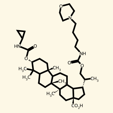 CC(COC(=O)NCCCCN1CCOCC1)[C@@H]1CC[C@]2(C(=O)O)CC[C@]3(C)C(CCC4[C@@]5(C)CC[C@@H](OC(=O)NC6CC6)C(C)(C)C5CC[C@]43C)C12